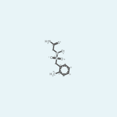 CCN(CC(N)=S)S(=O)(=O)Cc1ccccc1C